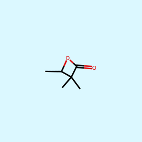 CC1OC(=O)C1(C)C